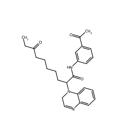 CCC(=O)CCCCCC(C(=O)Nc1cccc(C(C)=O)c1)N1CC=Nc2ccccc21